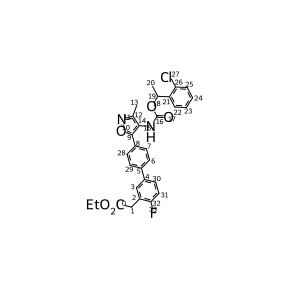 CCOC(=O)Cc1cc(-c2ccc(-c3onc(C)c3NC(=O)OC(C)c3ccccc3Cl)cc2)ccc1F